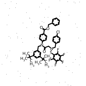 CC(C)(C)c1cc(CN(C(=O)CN(Cc2ccc(Cl)cc2)Sc2c(F)c(F)c(F)c(F)c2F)c2ccc(C(=O)OCc3ccccc3)cc2)cc(C(C)(C)C)c1